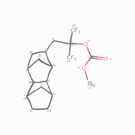 CC(C)(C)OC(=O)OC(CC1CC2CC1C1C3CCC(C3)C21)(C(F)(F)F)C(F)(F)F